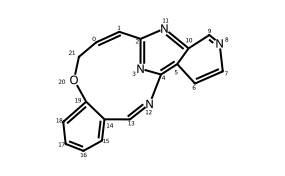 C1=Cc2nc(c3ccncc3n2)N=Cc2ccccc2OC1